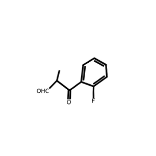 CC(C=O)C(=O)c1ccccc1F